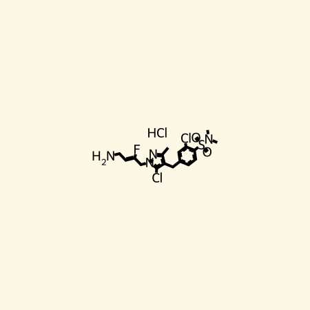 Cc1nn(CC(F)=CCN)c(Cl)c1Cc1ccc(S(=O)(=O)N(C)C)c(Cl)c1.Cl